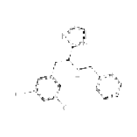 Clc1cc(Cl)cc(CC(NCc2ccccc2)c2ncc[nH]2)c1